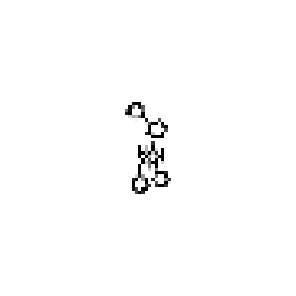 C(=C1\N=C(c2cccc(-c3ccccc3)c2)N=[N+]1c1ccccc1)/c1ccccc1